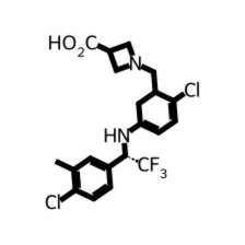 Cc1cc([C@H](NC2=CC=C(Cl)C(CN3CC(C(=O)O)C3)C2)C(F)(F)F)ccc1Cl